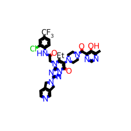 CCc1c(N2CCN(C(=O)c3ncnc(C)c3O)CC2)c(=O)n2nc(N3Cc4ccncc4C3)nc2n1CC(=O)Nc1ccc(C(F)(F)F)cc1Cl